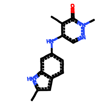 Cc1cc2ccc(Nc3cnn(C)c(=O)c3C)cc2[nH]1